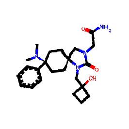 CN(C)[C@]1(c2ccccc2)CC[C@@]2(CC1)CN(CC(N)=O)C(=O)N2CC1(O)CCC1